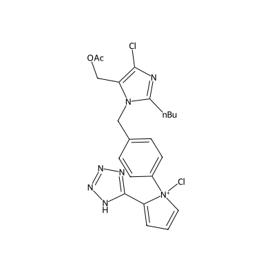 CCCCc1nc(Cl)c(COC(C)=O)n1Cc1ccc([N+]2(Cl)C=CC=C2c2nnn[nH]2)cc1